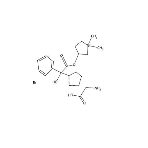 C[N+]1(C)CCC(OC(=O)C(O)(c2ccccc2)C2CCCC2)C1.NCC(=O)O.[Br-]